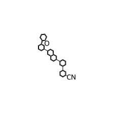 N#Cc1cccc(-c2cccc(-c3ccc4cc(-c5cccc6c5oc5ccccc56)ccc4c3)c2)c1